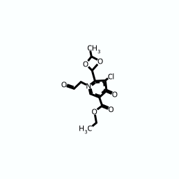 CCOC(=O)c1cn(CC=O)c(C2OC(C)O2)c(Cl)c1=O